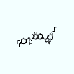 FCCN1CCn2ncc(-c3ccc4nnc(NCC5CCC(F)(F)CC5)cc4c3)c2C1